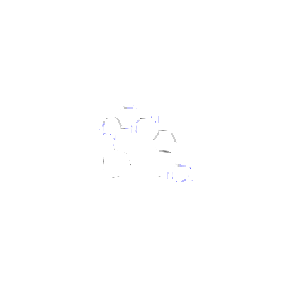 Cn1nnnc1-c1ccc(Nc2ncc3cnn(C4CCCCCC4)c3n2)cc1